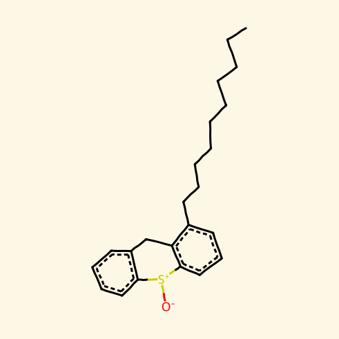 CCCCCCCCCCc1cccc2c1Cc1ccccc1[S+]2[O-]